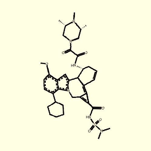 COc1ccc(C2CCCCC2)c2c1cc1n2CC2=C(C(=O)NS(=O)(=O)N(C)C)C2=C2C=CC[C@@H](NC(=O)C(=O)N3C[C@@H](C)N(C)[C@@H](C)C3)C21